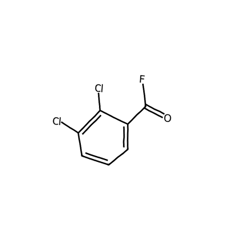 O=C(F)c1cccc(Cl)c1Cl